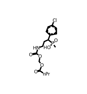 CCCC(=O)OCOC(=O)NCCC(c1ccc(Cl)cc1)P(C)(=O)O